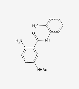 CC(=O)Nc1ccc(N)c(C(=O)Nc2ccccc2C)c1